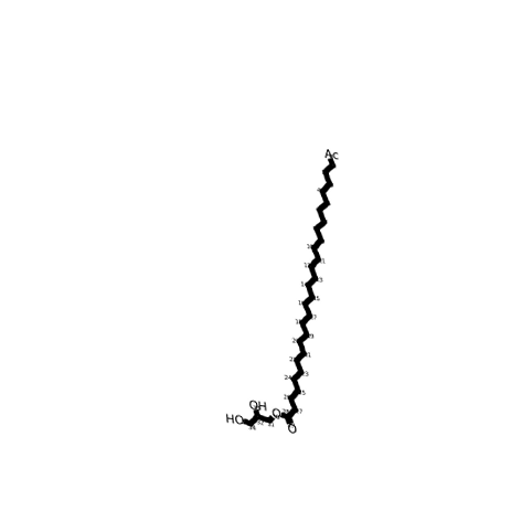 CC(=O)CCCCCCCCCCCCCCCCCCCCCCCCCCCC(=O)OCC(O)CO